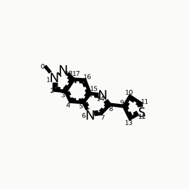 Cn1cc2cc3ncc(-c4ccsc4)nc3cc2n1